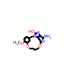 COc1ccc2cc1OC/C=C/COc1cc3c(nc(O)n3C2)c(N)n1